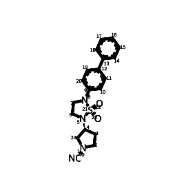 N#CN1CC[C@@H](N2CCN(c3ccc(-c4ccccc4)cc3)S2(=O)=O)C1